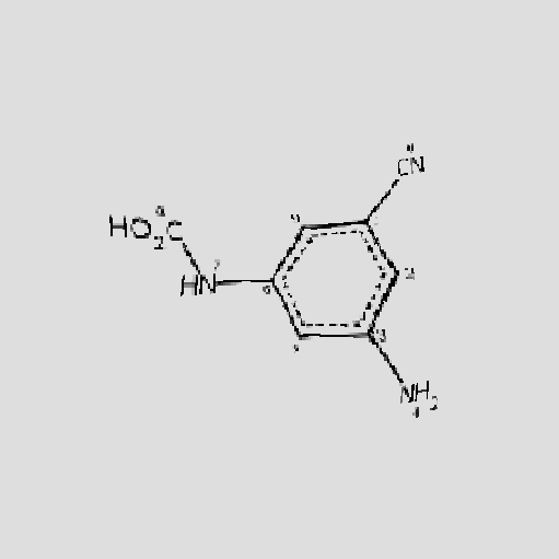 N#Cc1cc(N)cc(NC(=O)O)c1